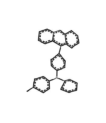 Cc1ccc(N(c2ccccc2)c2ccc(-c3c4ccccc4cc4ccccc34)cc2)cc1